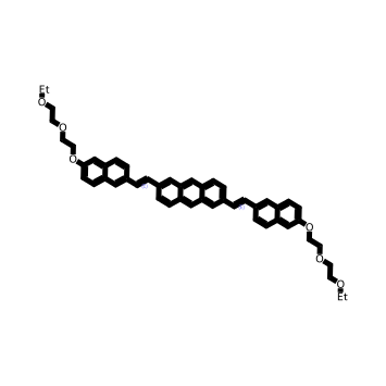 CCOCCOCCOc1ccc2cc(/C=C/c3ccc4cc5cc(/C=C/c6ccc7cc(OCCOCCOCC)ccc7c6)ccc5cc4c3)ccc2c1